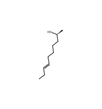 CC/C=C/CCCC[C@H](C)O